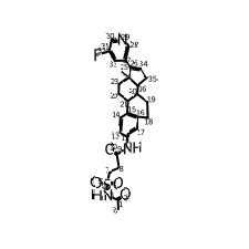 CC(=O)NS(=O)(=O)CCC(=O)Nc1ccc2c(c1)CCC1C2CC[C@]2(C)C(c3cncc(F)c3)=CCC12